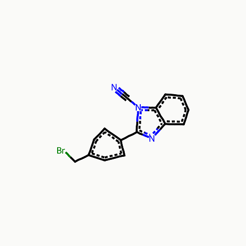 N#Cn1c(-c2ccc(CBr)cc2)nc2ccccc21